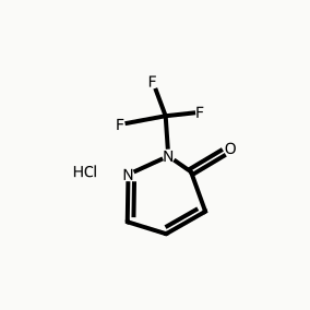 Cl.O=c1cccnn1C(F)(F)F